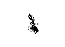 CCC1CC(NCCC2(c3ccccn3)CCOC3(CCCC3)C2)c2ccnn21